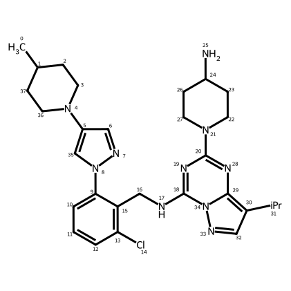 CC1CCN(c2cnn(-c3cccc(Cl)c3CNc3nc(N4CCC(N)CC4)nc4c(C(C)C)cnn34)c2)CC1